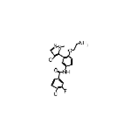 Cn1ncc(Cl)c1-c1cc(NC(=O)c2ccc(Cl)c(F)c2)ccc1OCCN